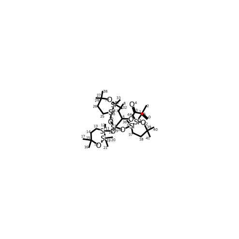 C=C(C)C(=O)OC(CC)[Si](O[Si]1(C)CCC(C)(C)O[Si]1(C)C)(O[Si]1(C)CCC(C)(C)O[Si]1(C)C)O[Si]1(C)CCC(C)(C)O[Si]1(C)C